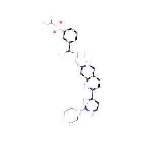 C[C@@H]1CN(c2nccc(-c3ccc4cnc(CNC(=O)c5cccc(S(=O)(=O)C(F)F)c5)cc4n3)n2)C[C@H](C)O1